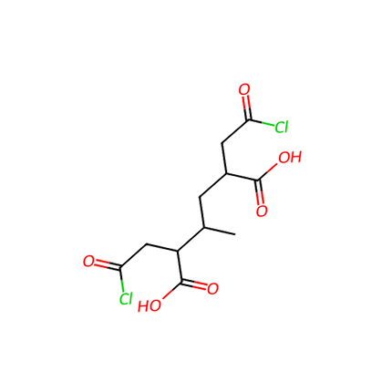 CC(CC(CC(=O)Cl)C(=O)O)C(CC(=O)Cl)C(=O)O